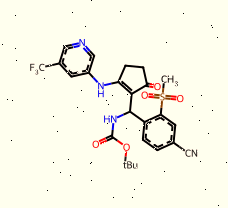 CC(C)(C)OC(=O)NC(C1=C(Nc2cncc(C(F)(F)F)c2)CCC1=O)c1ccc(C#N)cc1S(C)(=O)=O